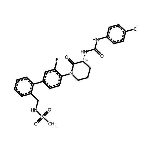 CS(=O)(=O)NCc1ccccc1-c1ccc(N2CCC[C@@H](NC(=O)Nc3ccc(Cl)cc3)C2=O)c(F)c1